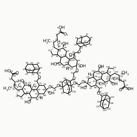 C[C@H](CCC(=O)O)[C@H]1CCC2C3C(C[C@H](O)[C@@]21C)[C@@]1(C)C(COC2C4CC5CC(C4)CC2C5)C[C@@](O)(OCOC2C4CC5CC(OCO[C@]6(O)CC(COC7C8CC9CC(C8)CC7C9)[C@]7(C)C8C[C@H](O)[C@@]9(C)C(CC[C@@H]9[C@H](C)CCC(=O)O)C8[C@H](O)C[C@@H]7C6)(C4)CC2(OCO[C@]2(O)CC(COC4C6CC7CC(C6)CC4C7)[C@]4(C)C6C[C@H](O)[C@@]7(C)C(CC[C@@H]7[C@H](C)CCC(=O)O)C6[C@H](O)C[C@@H]4C2)C5)C[C@H]1C[C@H]3O